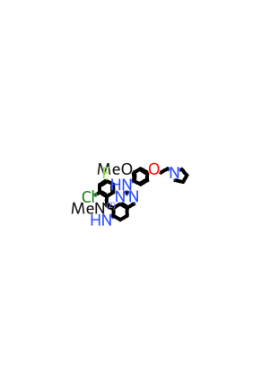 CN/C(=C1\C(=N)CCc2cnc(Nc3ccc(OCCN4CCCC4)cc3OC)nc21)c1ccc(F)cc1Cl